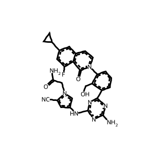 N#Cc1cc(Nc2nc(N)nc(-c3cccc(-n4ccc5cc(C6CC6)cc(F)c5c4=O)c3CO)n2)cn1CC(N)=O